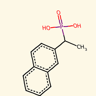 CC(c1ccc2ccccc2c1)P(=O)(O)O